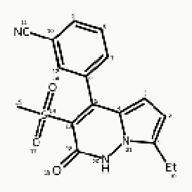 CCc1ccc2c(-c3cccc(C#N)c3)c(S(C)(=O)=O)c(=O)[nH]n12